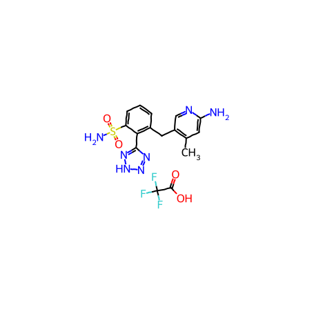 Cc1cc(N)ncc1Cc1cccc(S(N)(=O)=O)c1-c1nn[nH]n1.O=C(O)C(F)(F)F